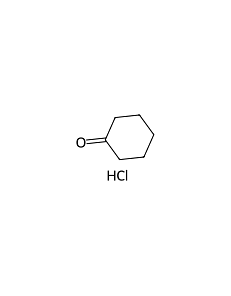 Cl.O=C1CCCCC1